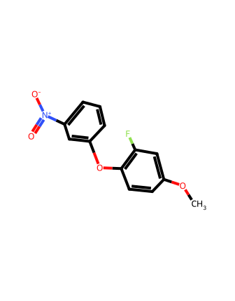 COc1ccc(Oc2cccc([N+](=O)[O-])c2)c(F)c1